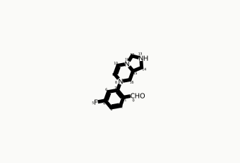 O=Cc1ccc(F)cc1N1C=CN2CNCC2C1